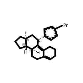 CC(C)c1ccc([C@H]2C[C@]3(C)CCC[C@H]3[C@@H]3CCC4=CCCCC4=C32)cc1